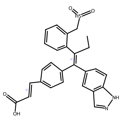 CC/C(=C(/c1ccc(/C=C/C(=O)O)cc1)c1ccc2[nH]ncc2c1)c1ccccc1C[SH](=O)=O